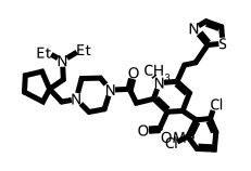 CCN(CC)CC1(CN2CCN(C(=O)CC3=C(C(=O)OC)C(c4c(Cl)cccc4Cl)C=C(CCc4nccs4)N3C)CC2)CCCC1